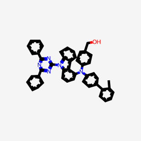 Cc1ccccc1-c1ccc(N(c2ccc(CO)cc2)c2cccc3c2c2ccccc2n3-c2nc(-c3ccccc3)nc(-c3ccccc3)n2)cc1